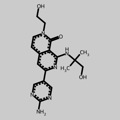 CC(C)(CO)Nc1nc(-c2cnc(N)nc2)cc2ccn(CCO)c(=O)c12